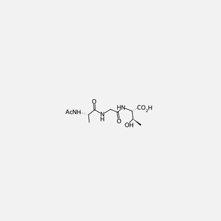 CC(=O)N[C@@H](C)C(=O)NCC(=O)N[C@H](C(=O)O)[C@@H](C)O